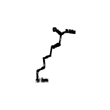 CCCCCCCCCC/C=C/C(=O)NC